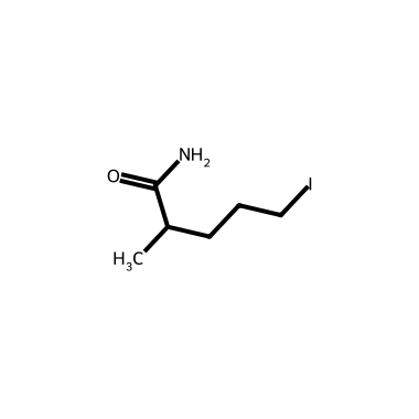 CC(CCCI)C(N)=O